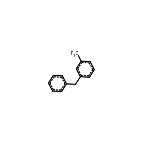 FC(F)(F)c1cccc([CH]c2ccccc2)c1